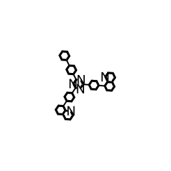 c1ccc(-c2ccc(-c3nc(-c4ccc(-c5cccc6cccnc56)cc4)nc(-c4ccc(-c5cccc6cccnc56)cc4)n3)cc2)cc1